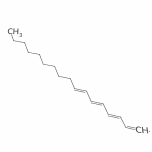 [CH]=CC=CC=CC=CCCCCCCCCC